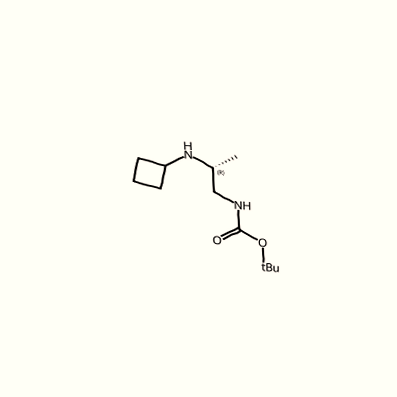 C[C@H](CNC(=O)OC(C)(C)C)NC1CCC1